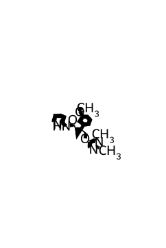 COc1cccc([C@]2(COc3cnc(C)nc3C)C[C@H]2C(=O)Nc2ccccn2)c1